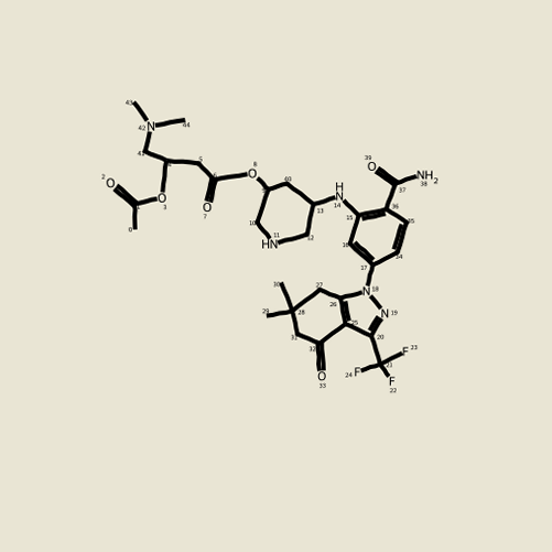 CC(=O)OC(CC(=O)OC1CNCC(Nc2cc(-n3nc(C(F)(F)F)c4c3CC(C)(C)CC4=O)ccc2C(N)=O)C1)CN(C)C